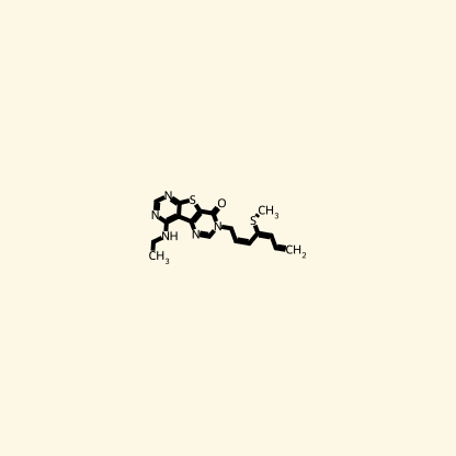 C=C/C=C(\C=C/Cn1cnc2c(sc3ncnc(NCC)c32)c1=O)SC